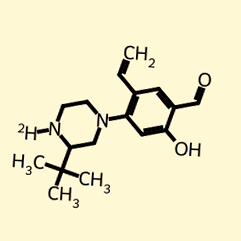 [2H]N1CCN(c2cc(O)c(C=O)cc2C=C)CC1C(C)(C)C